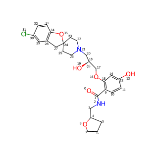 O=C(NCC1CCCO1)c1ccc(O)cc1OC[C@@H](O)CN1CCC2(CC1)Cc1cc(Cl)ccc1O2